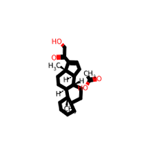 CC(=O)O.C[C@]12CCCCC1CC[C@@H]1[C@@H]2CC[C@]2(C)C(C(=O)CO)=CC[C@@H]12